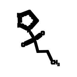 CCCS(=O)(=O)n1ccnn1